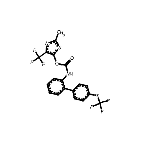 Cc1nc(C(F)(F)F)c(OC(=O)Nc2ccccc2-c2ccc(SC(F)(F)F)cc2)s1